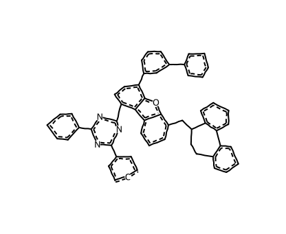 c1ccc(-c2cccc(-c3ccc(-c4nc(-c5ccccc5)nc(-c5ccccc5)n4)c4c3oc3c(CC5CCc6ccccc6-c6ccccc65)cccc34)c2)cc1